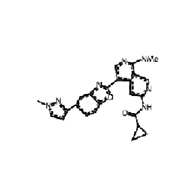 CNc1ncc(-c2nc3cc(-c4ccn(C)n4)ccc3o2)c2cc(NC(=O)C3CC3)ncc12